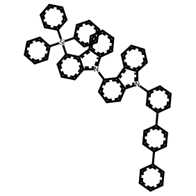 c1ccc(-c2ccc(-c3cccc(-n4c5ccccc5c5c(-n6c7ccccc7c7c([Si](c8ccccc8)(c8ccccc8)c8ccccc8)cccc76)cccc54)c3)cc2)cc1